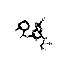 CCC[C@H](CO)Nc1nc(S[C@@H](C)c2ccccc2F)nc2nc(Cl)sc12